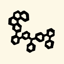 c1ccc(-c2ccccc2-c2ccc(N(c3ccccc3)c3cccc(-c4ccccc4-c4ccc5c(ccc6ccc7ccccc7c65)c4)c3)cc2)cc1